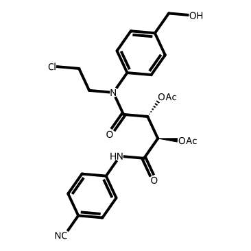 CC(=O)O[C@@H](C(=O)Nc1ccc(C#N)cc1)[C@@H](OC(C)=O)C(=O)N(CCCl)c1ccc(CO)cc1